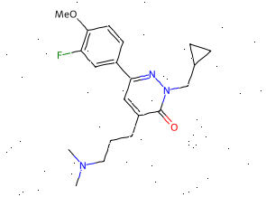 COc1ccc(-c2cc(CCCN(C)C)c(=O)n(CC3CC3)n2)cc1F